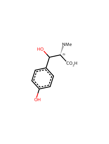 CN[C@H](C(=O)O)C(O)c1ccc(O)cc1